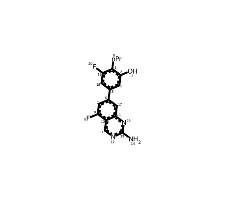 CCCc1c(O)cc(-c2cc(F)c3cnc(N)nc3c2)cc1F